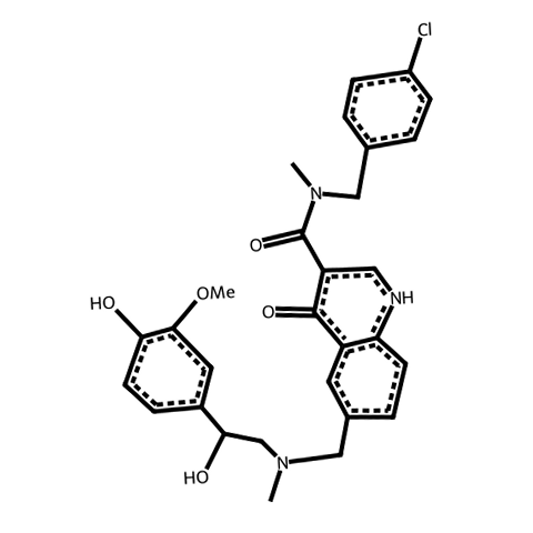 COc1cc(C(O)CN(C)Cc2ccc3[nH]cc(C(=O)N(C)Cc4ccc(Cl)cc4)c(=O)c3c2)ccc1O